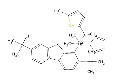 C[C](c1ccc(C)s1)=[Hf]([CH3])([CH3])([c]1c(C(C)(C)C)ccc2c1Cc1cc(C(C)(C)C)ccc1-2)[CH]1C=CC=C1